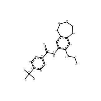 CCOc1cc2c(cc1NC(=O)c1ccc(C(C)(C)C)cc1)CCCCC2